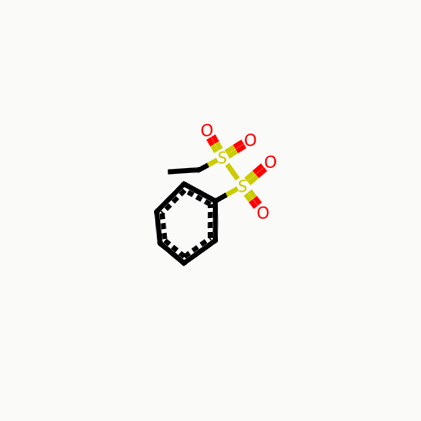 CCS(=O)(=O)S(=O)(=O)c1ccccc1